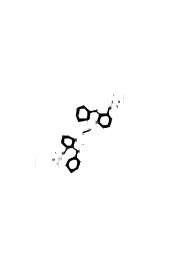 NN=Cc1cccc(OCCOc2cccc(C=NN)c2C(=O)c2ccccc2)c1C(=O)c1ccccc1